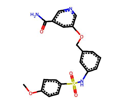 COc1ccc(S(=O)(=O)Nc2cccc(COc3cncc(C(N)=O)c3)c2)cc1